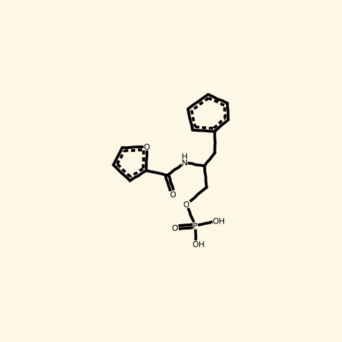 O=C(NC(COP(=O)(O)O)Cc1ccccc1)c1ccco1